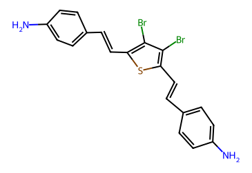 Nc1ccc(C=Cc2sc(C=Cc3ccc(N)cc3)c(Br)c2Br)cc1